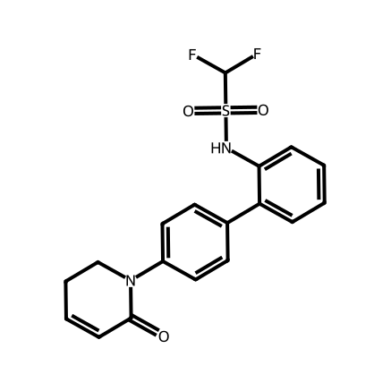 O=C1C=CCCN1c1ccc(-c2ccccc2NS(=O)(=O)C(F)F)cc1